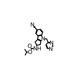 CC(C)OC(=O)N[C@H]1Cc2c(n(Cc3ccncn3)c3ccc(C#N)cc23)C1